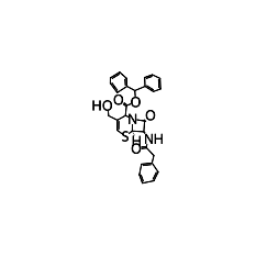 O=C(Cc1ccccc1)N[C@@H]1C(=O)N2C(C(=O)OC(c3ccccc3)c3ccccc3)C(CO)=CS[C@H]12